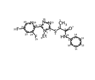 CCn1c(SC(C)C(=O)Nc2ccccc2)nnc1-c1ncc(F)cc1F